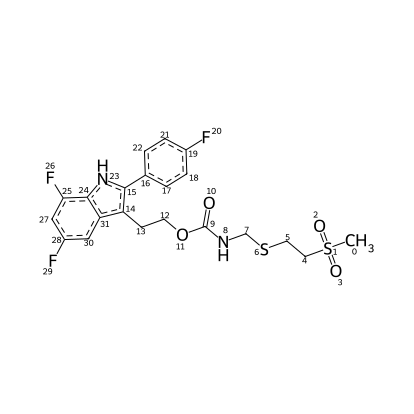 CS(=O)(=O)CCSCNC(=O)OCCc1c(-c2ccc(F)cc2)[nH]c2c(F)cc(F)cc12